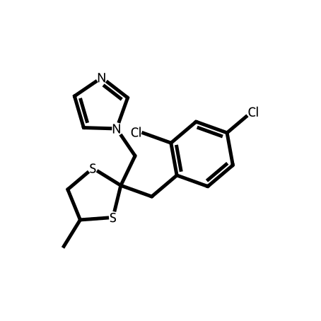 CC1CSC(Cc2ccc(Cl)cc2Cl)(Cn2ccnc2)S1